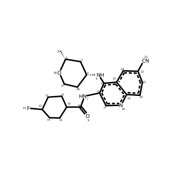 C[C@@H]1C[C@H](Nc2c(NC(=O)C3CCC(F)CC3)cnc3ccc(C#N)cc23)CCO1